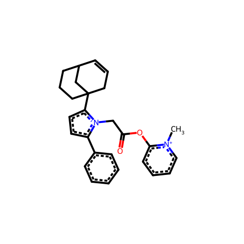 C[n+]1ccccc1OC(=O)Cn1c(-c2ccccc2)ccc1C12CC=CC(CCC1)C2